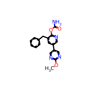 COc1ncc(-c2cnc(OC(N)=O)c(Cc3ccccc3)c2)cn1